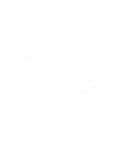 C=CC(=O)OCOc1ccc(N=Nc2ccc(C)c(C)c2)cc1